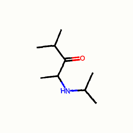 CC(C)NC(C)C(=O)C(C)C